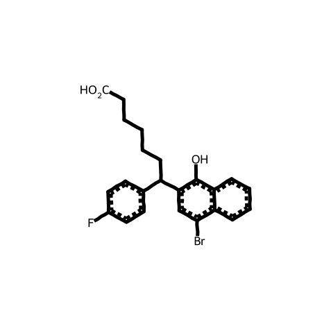 O=C(O)CCCCCC(c1ccc(F)cc1)c1cc(Br)c2ccccc2c1O